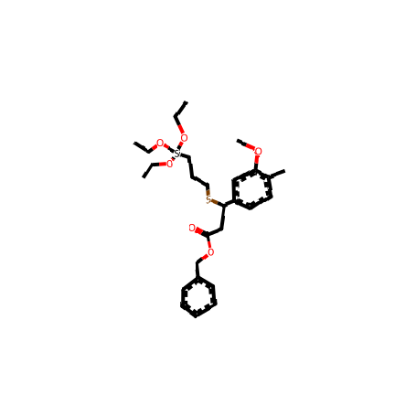 CCO[Si](CCCSC(CC(=O)OCc1ccccc1)c1ccc(C)c(OC)c1)(OCC)OCC